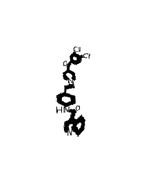 O=C(N[C@H]1CC[C@H](CCN2CCC(C(=O)c3ccc(Cl)c(Cl)c3)CC2)CC1)c1ccnc2ccccc12